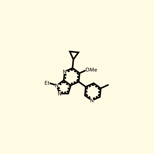 CCn1ncc2c(-c3cncc(C)c3)c(OC)c(C3CC3)nc21